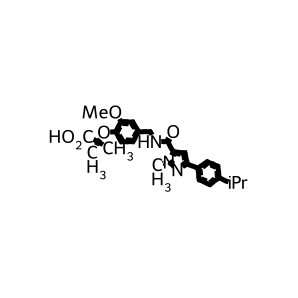 COc1cc(CNC(=O)c2cc(-c3ccc(C(C)C)cc3)nn2C)ccc1OC(C)(C)C(=O)O